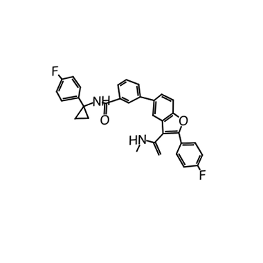 C=C(NC)c1c(-c2ccc(F)cc2)oc2ccc(-c3cccc(C(=O)NC4(c5ccc(F)cc5)CC4)c3)cc12